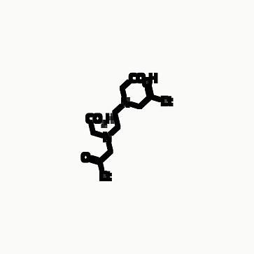 CCC(=O)CN(CCN(CC(=O)O)CC(=O)CC)CC(=O)O